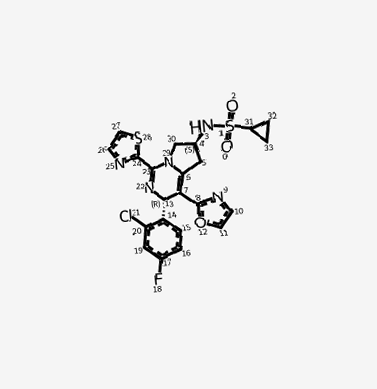 O=S(=O)(N[C@H]1CC2=C(c3ncco3)[C@H](c3ccc(F)cc3Cl)N=C(c3nccs3)N2C1)C1CC1